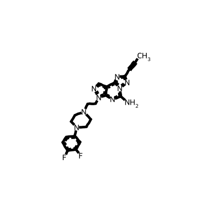 CC#Cc1nc2c3cnn(CCN4CCN(c5ccc(F)c(F)c5)CC4)c3nc(N)n2n1